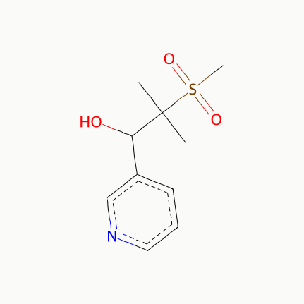 CC(C)(C(O)c1cccnc1)S(C)(=O)=O